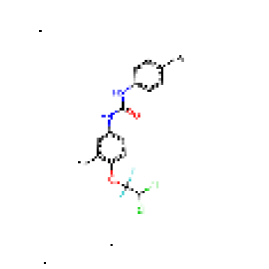 Cc1cc(NC(=O)Nc2ccc(C(C)C)cc2)ccc1OC(F)(F)C(Cl)Cl